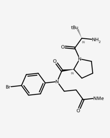 CNC(=O)CCN(C(=O)[C@@H]1CCCN1C(=O)[C@@H](N)C(C)(C)C)c1ccc(Br)cc1